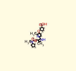 Cc1c[nH]c(-c2ccc(O[C@H]3CCC[C@H](C(=O)O)C3)c(C)n2)c1COC(=O)N(C)C1CCCC1